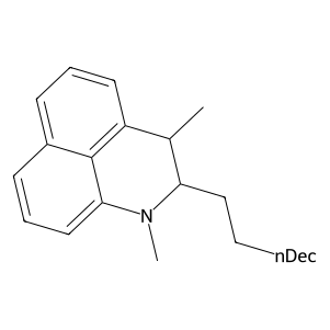 CCCCCCCCCCCCC1C(C)c2cccc3cccc(c23)N1C